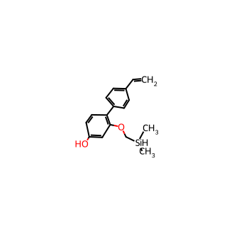 C=Cc1ccc(-c2ccc(O)cc2OC[SiH](C)C)cc1